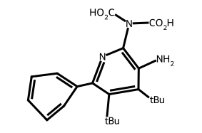 CC(C)(C)c1c(-c2ccccc2)nc(N(C(=O)O)C(=O)O)c(N)c1C(C)(C)C